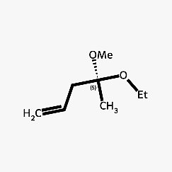 C=CC[C@@](C)(OC)OCC